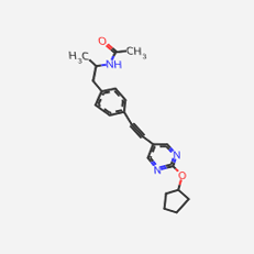 CC(=O)NC(C)Cc1ccc(C#Cc2cnc(OC3CCCC3)nc2)cc1